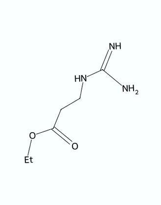 CCOC(=O)CCNC(=N)N